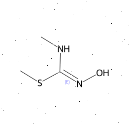 CN/C(=N\O)SC